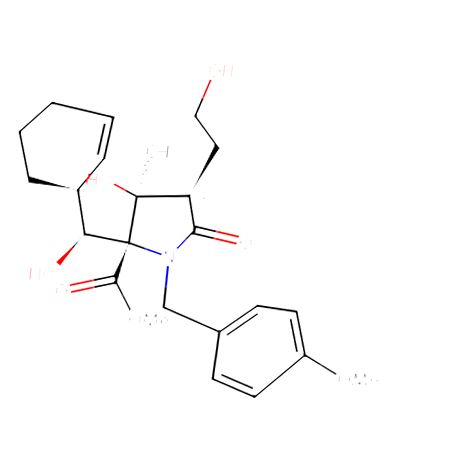 COC(=O)[C@]1([C@@H](O)[C@@H]2C=CCCC2)N(Cc2ccc(OC)cc2)C(=O)[C@H](CCO)[C@]1(C)O